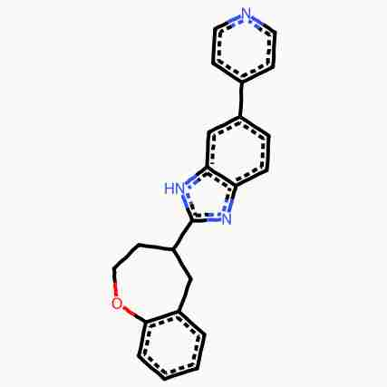 c1ccc2c(c1)CC(c1nc3ccc(-c4ccncc4)cc3[nH]1)CCO2